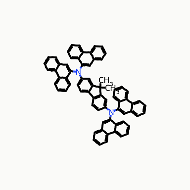 CC1(C)c2cc(N(c3cc4ccccc4c4ccccc34)c3cc4ccccc4c4ccccc34)ccc2-c2ccc(N(c3cc4ccccc4c4ccccc34)c3cc4ccccc4c4ccccc34)cc21